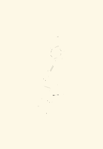 O=C(C1=CNC(C#Cc2ccc(F)cc2)S1)N1CCCC1